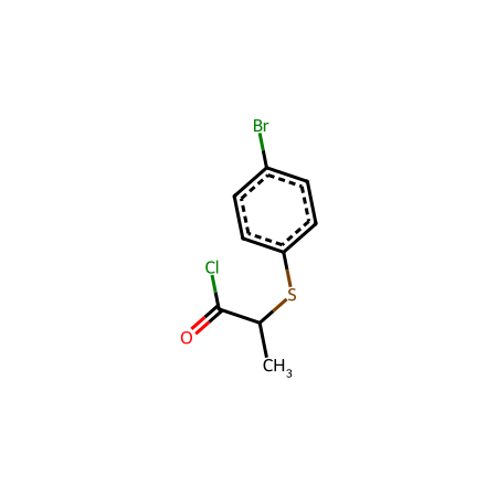 CC(Sc1ccc(Br)cc1)C(=O)Cl